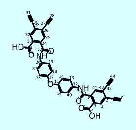 C#Cc1cc(C(=O)O)c(C(=O)Nc2ccc(Oc3ccc(NC(=O)c4cc(C#C)c(C#C)cc4C(=O)O)cc3)cc2)cc1C#C